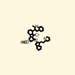 Cc1nc2ccccc2cc1C1=CC=CC2C1=[C]([Cr])c1[c]([Cr][C]3=Cc4ccccc4C3CCc3ccccn3)cccc12.Cl.Cl